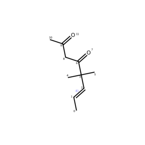 C/C=C/C(C)(C)C(=O)CC(C)=O